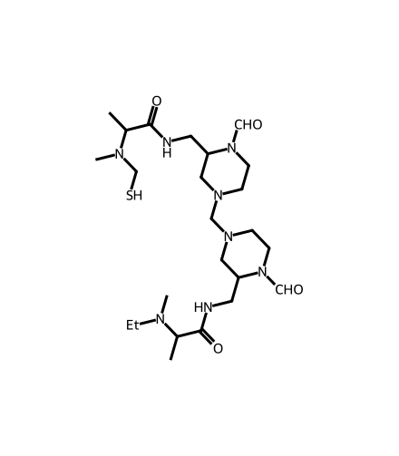 CCN(C)C(C)C(=O)NCC1CN(CN2CCN(C=O)C(CNC(=O)C(C)N(C)CS)C2)CCN1C=O